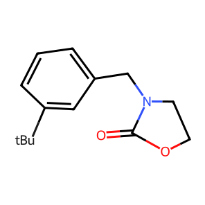 CC(C)(C)c1cccc(CN2CCOC2=O)c1